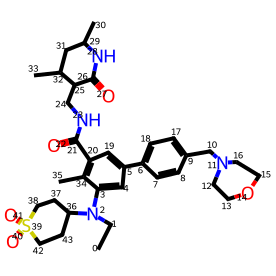 CCN(c1cc(-c2ccc(CN3CCOCC3)cc2)cc(C(=O)NCC2C(=O)NC(C)CC2C)c1C)C1CCS(=O)(=O)CC1